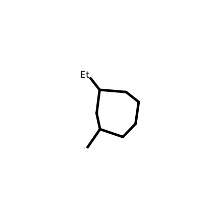 [CH2]C1CCCCC(CC)C1